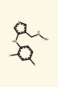 CC(C)(C)NCc1cscc1Nc1ccc(I)cc1F